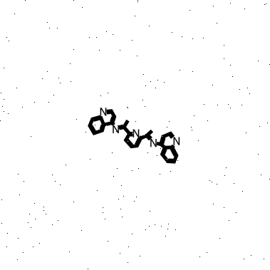 C/C(=N\c1ccnc2ccccc12)c1cccc(/C(C)=N/c2ccnc3ccccc23)n1